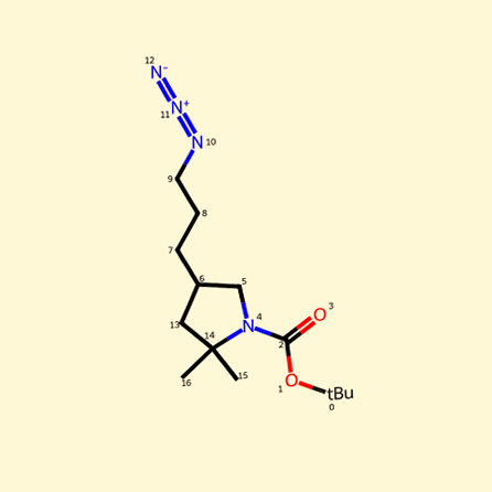 CC(C)(C)OC(=O)N1CC(CCCN=[N+]=[N-])CC1(C)C